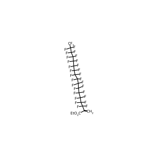 C=C(C(=O)OCC)C(F)(F)C(F)(F)C(F)(F)C(F)(F)C(F)(F)C(F)(F)C(F)(F)C(F)(F)C(F)(F)C(F)(F)C(F)(F)C(F)(F)C(F)(F)C(F)(F)C(F)(F)F